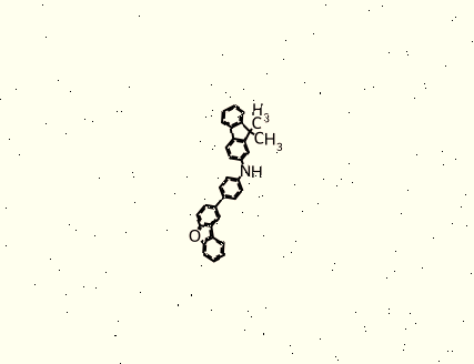 CC1(C)c2ccccc2-c2ccc(Nc3ccc(-c4ccc5oc6ccccc6c5c4)cc3)cc21